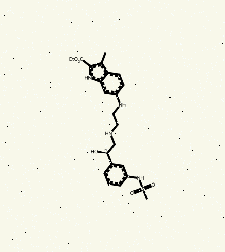 CCOC(=O)c1[nH]c2cc(NCCNC[C@H](O)c3cccc(NS(C)(=O)=O)c3)ccc2c1C